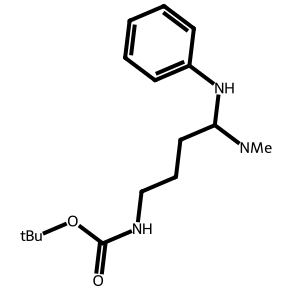 CNC(CCCNC(=O)OC(C)(C)C)Nc1ccccc1